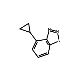 c1cc2c(c(C3CC3)c1)N=N[N]2